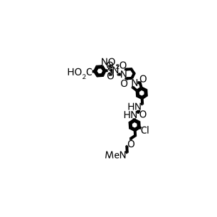 CNCCOCCc1ccc(NC(=O)NCc2ccc3c(c2)CN(C2CCC(=O)N(CN(C)S(=O)(=O)c4ccc(C(=O)O)cc4[N+](=O)[O-])C2=O)C3=O)cc1Cl